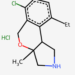 CCc1ccc(Cl)c2c1C1CNCC1(C)OC2.Cl